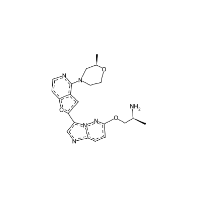 C[C@H](N)COc1ccc2ncc(-c3cc4c(N5CCO[C@H](C)C5)nccc4o3)n2n1